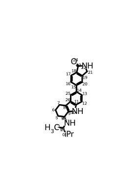 CC(C)[C@@H](C)N[C@@H]1CCCc2c1[nH]c1ccc(-c3ccc4c(c3)CNC4=O)cc21